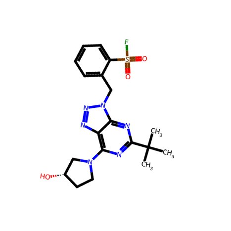 CC(C)(C)c1nc(N2CC[C@H](O)C2)c2nnn(Cc3ccccc3S(=O)(=O)F)c2n1